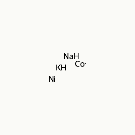 [Co].[KH].[NaH].[Ni]